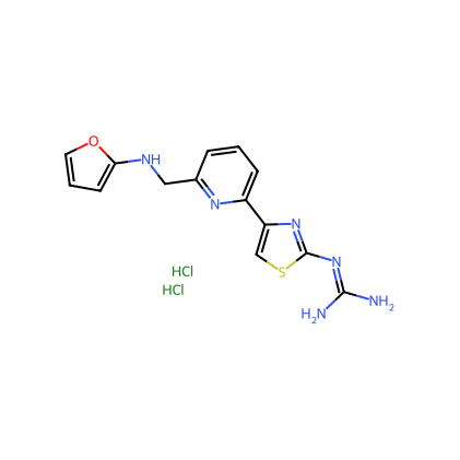 Cl.Cl.NC(N)=Nc1nc(-c2cccc(CNc3ccco3)n2)cs1